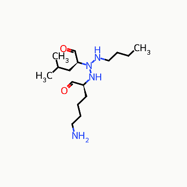 CCCCNN(N[C@H](C=O)CCCCN)[C@H](C=O)CC(C)C